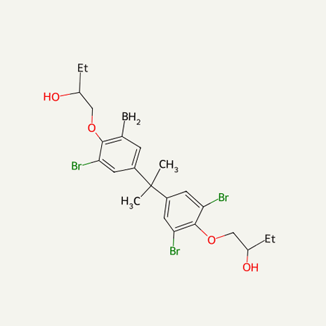 Bc1cc(C(C)(C)c2cc(Br)c(OCC(O)CC)c(Br)c2)cc(Br)c1OCC(O)CC